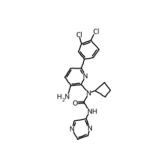 Nc1ccc(-c2ccc(Cl)c(Cl)c2)nc1N(C(=O)Nc1cnccn1)C1CCC1